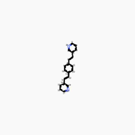 C(=C\c1cccnc1)/c1ccc(/C=C/c2cccnc2)cc1